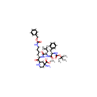 COC(=O)C1(N)CCNC(C(=O)[C@@H](CCCCNC(=O)OCc2ccccc2)NC(=O)[C@@H](CC(C)C)NC(=O)[C@@H](Cc2ccccc2)NC(=O)OC(C)(C)C)C1